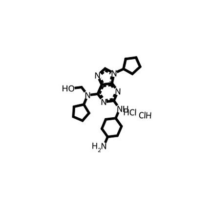 Cl.Cl.NC1CCC(Nc2nc(N(CO)C3CCCC3)c3ncn(C4CCCC4)c3n2)CC1